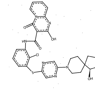 O=C(Nc1cccc(Sc2cnc(N3CCC4(CC3)COC[C@H]4O)cn2)c1Cl)c1c(O)nc2ccccn2c1=O